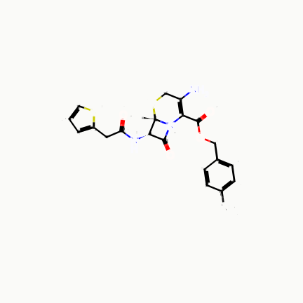 NC1=C(C(=O)OCc2ccc([N+](=O)[O-])cc2)N2C(=O)[C@@H](NC(=O)Cc3cccs3)[C@@H]2SC1